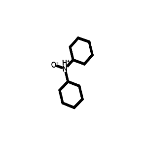 [O-][NH+](C1CCCCC1)C1CCCCC1